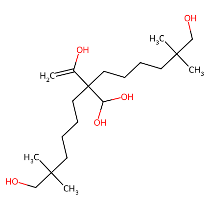 C=C(O)C(CCCCC(C)(C)CO)(CCCCC(C)(C)CO)C(O)O